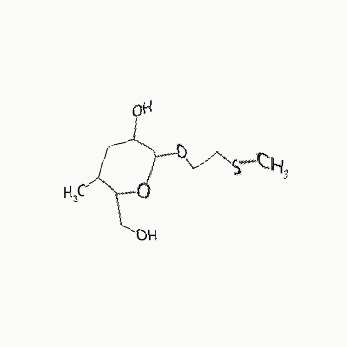 CSCCOC1OC(CO)C(C)CC1O